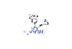 COCc1cccc(-c2nc(N)nc(N)c2C#Cc2cccnc2)c1